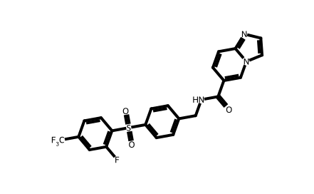 O=C(NCc1ccc(S(=O)(=O)c2ccc(C(F)(F)F)cc2F)cc1)c1ccc2nccn2c1